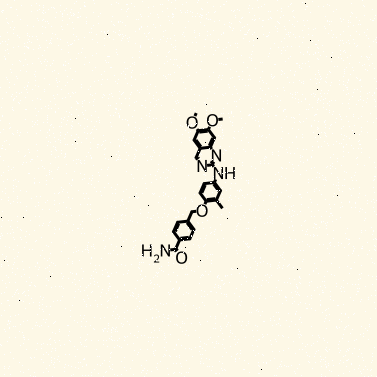 COc1cc2cnc(Nc3ccc(OCc4ccc(C(N)=O)cc4)c(C)c3)nc2cc1OC